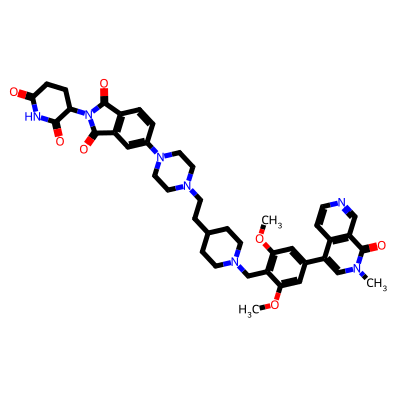 COc1cc(-c2cn(C)c(=O)c3cnccc23)cc(OC)c1CN1CCC(CCN2CCN(c3ccc4c(c3)C(=O)N(C3CCC(=O)NC3=O)C4=O)CC2)CC1